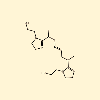 CC(CN=NCC(C)C1=NCCN1CCO)C1=NCCN1CCO